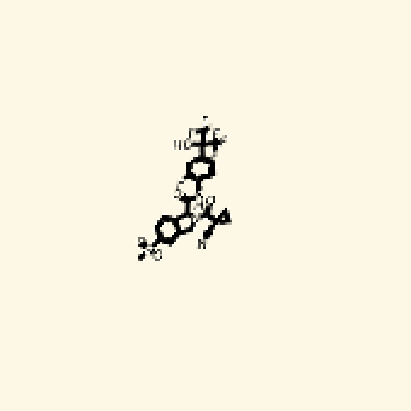 CS(=O)(=O)c1ccc2c(c1)CN(C(=O)C1(C#N)CC1)C2C(=O)Nc1ccc(C(O)(C(F)(F)F)C(F)(F)F)cc1F